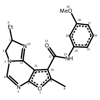 CCC1CN2C=Nc3oc(C)c(C(=O)Nc4cccc(OC)c4)c3C2=N1